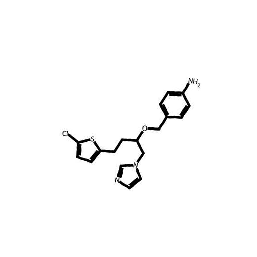 Nc1ccc(COC(CCc2ccc(Cl)s2)Cn2ccnc2)cc1